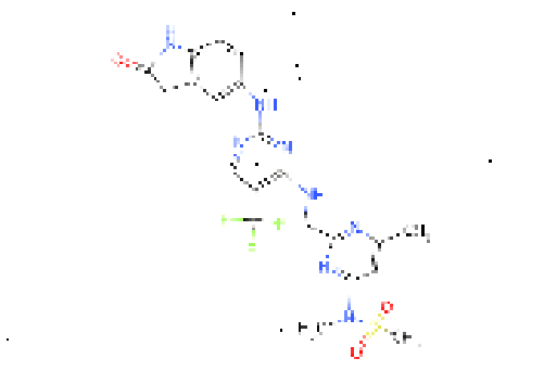 Cc1cc(N(C)S(C)(=O)=O)nc(CNc2nc(Nc3ccc4c(c3)CC(=O)N4)ncc2C(F)(F)F)n1